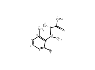 CC[C@H](C(=O)OC)N(C)c1c(Br)cncc1[N+](=O)[O-]